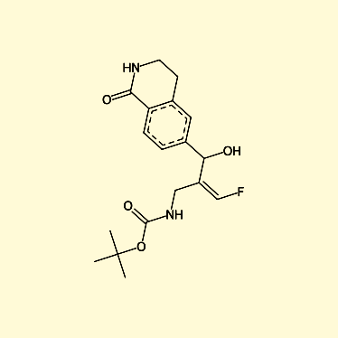 CC(C)(C)OC(=O)NC/C(=C/F)C(O)c1ccc2c(c1)CCNC2=O